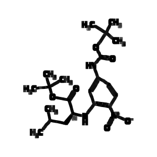 CC(C)C[C@H](Nc1cc(NC(=O)OC(C)(C)C)ccc1[N+](=O)[O-])C(=O)OC(C)(C)C